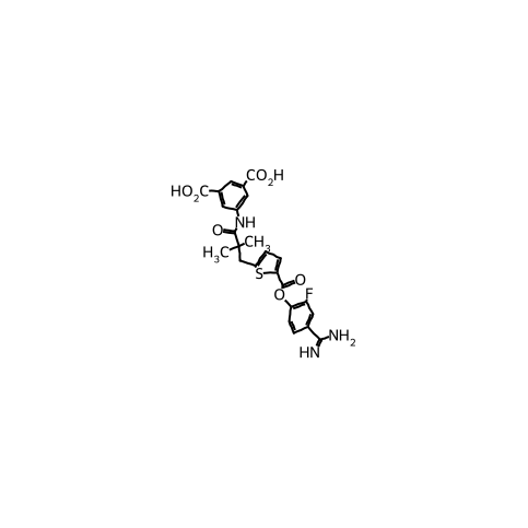 CC(C)(Cc1ccc(C(=O)Oc2ccc(C(=N)N)cc2F)s1)C(=O)Nc1cc(C(=O)O)cc(C(=O)O)c1